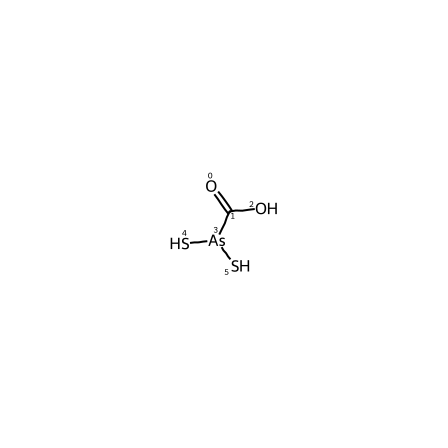 O=C(O)[As](S)S